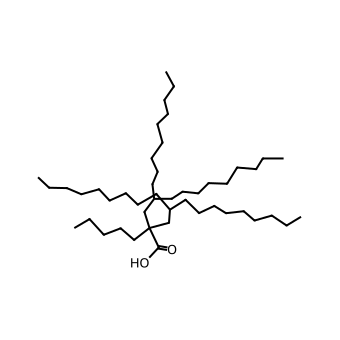 CCCCCCCCCC(CCCCCCCCC)CC(CCCCC)(CC(CCCCCCCCC)CCCCCCCCC)C(=O)O